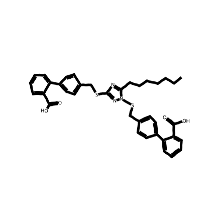 CCCCCCCc1nc(SCc2ccc(-c3ccccc3C(=O)O)cc2)nn1SCc1ccc(-c2ccccc2C(=O)O)cc1